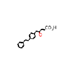 O=C(O)/C=C/C(=O)Cc1ccc(/C=C/c2ccccc2)cc1